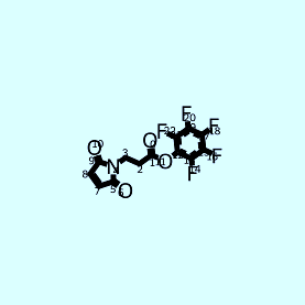 O=C(CCN1C(=O)C=CC1=O)Oc1c(F)c(F)c(F)c(F)c1F